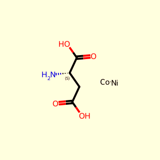 N[C@@H](CC(=O)O)C(=O)O.[Co].[Ni]